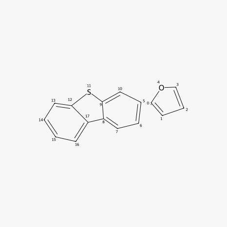 [c]1ccco1.c1ccc2c(c1)sc1ccccc12